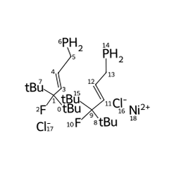 CC(C)(C)C(F)(C=CCP)C(C)(C)C.CC(C)(C)C(F)(C=CCP)C(C)(C)C.[Cl-].[Cl-].[Ni+2]